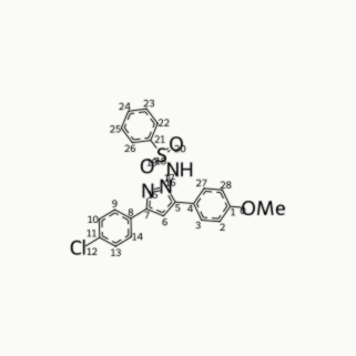 COc1ccc(-c2cc(-c3ccc(Cl)cc3)nn2NS(=O)(=O)c2ccccc2)cc1